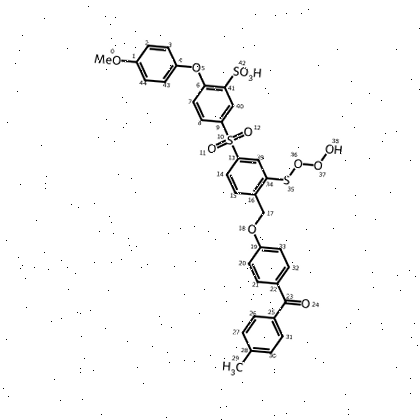 COc1ccc(Oc2ccc(S(=O)(=O)c3ccc(COc4ccc(C(=O)c5ccc(C)cc5)cc4)c(SOOO)c3)cc2S(=O)(=O)O)cc1